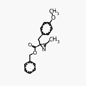 COc1ccc(CC2(C(=O)OCc3ccccc3)N=C2C)cc1